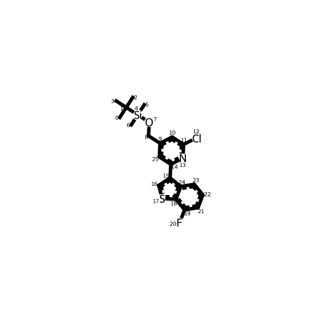 CC(C)(C)[Si](C)(C)OCc1cc(Cl)nc(-c2csc3c(F)cccc23)c1